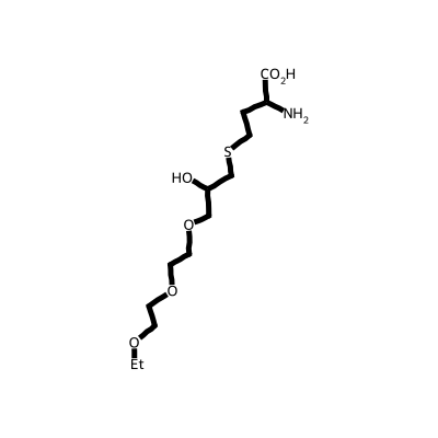 CCOCCOCCOCC(O)CSCCC(N)C(=O)O